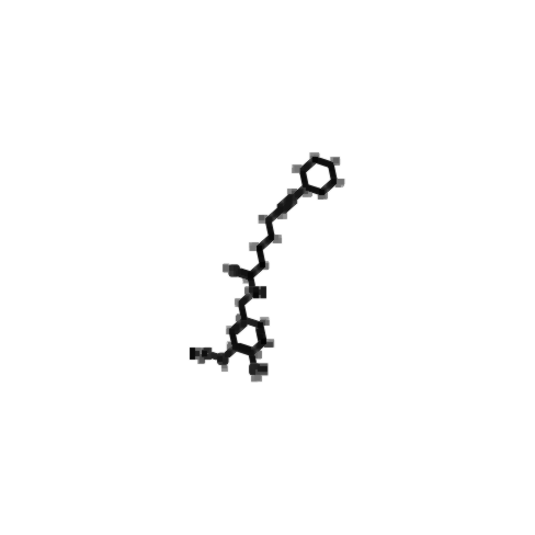 COc1cc(CNC(=O)CCCCC#CC2CCCCC2)ccc1O